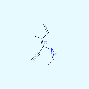 C#CC(/N=C\C)=C(\C)C=C